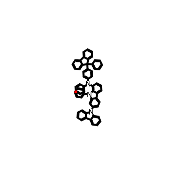 c1ccc(N(c2ccc(C3(c4ccccc4)c4ccccc4-c4ccccc43)cc2)c2cccc3c4ccc(-n5c6ccccc6c6ccccc65)cc4n(-c4ccccc4)c23)cc1